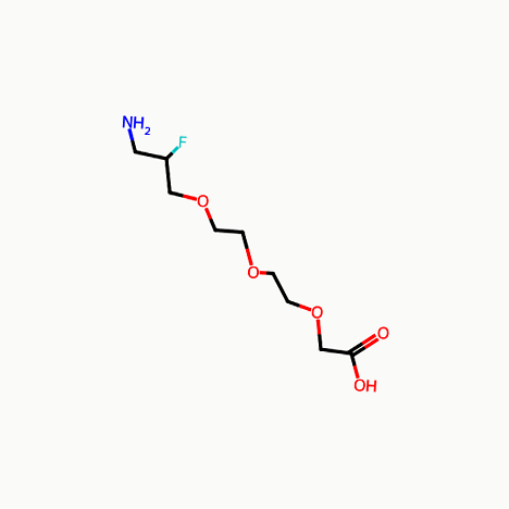 NCC(F)COCCOCCOCC(=O)O